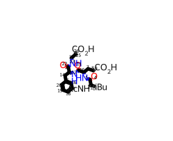 CCC(C)C(NC(C)=O)C(=O)NC(CCC(=O)O)C(=O)NC(Cc1ccccc1)C(=O)NCCC(=O)O